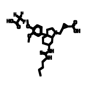 CCCCNC(=S)NC1CCC2(c3ccc(OC)c(OC)c3)CCN(CC3CC3C(=O)O)C2C1.O=C(O)C(F)(F)F